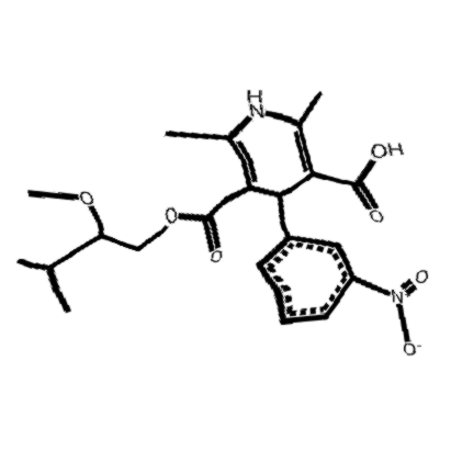 COC(COC(=O)C1=C(C)NC(C)=C(C(=O)O)C1c1cccc([N+](=O)[O-])c1)C(C)C